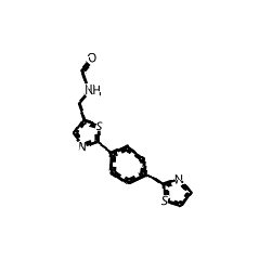 O=CNCc1cnc(-c2ccc(-c3nccs3)cc2)s1